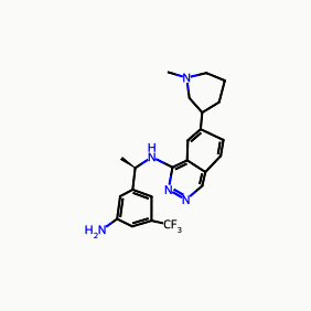 C[C@@H](Nc1nncc2ccc(C3CCCN(C)C3)cc12)c1cc(N)cc(C(F)(F)F)c1